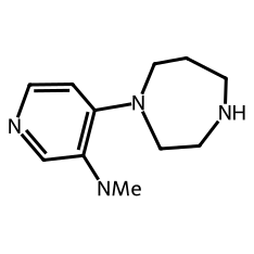 CNc1cnccc1N1CCCNCC1